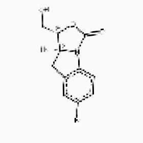 O=C1O[C@@H](CO)[C@@H]2Cc3cc(Br)ccc3N12